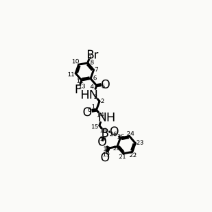 O=C(CNC(=O)c1cc(Br)ccc1F)NCB1OC(=O)c2ccccc2O1